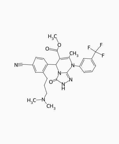 COC(=O)C1=C(C)N(c2cccc(C(F)(F)F)c2)c2n[nH]c(=O)n2C1c1ccc(C#N)cc1CCCN(C)C